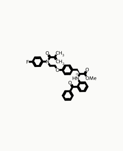 C=C(C)C(=O)N(CCOc1ccc(C[C@H](Nc2ccccc2C(=O)c2ccccc2)C(=O)OC)cc1)c1ccc(F)cc1